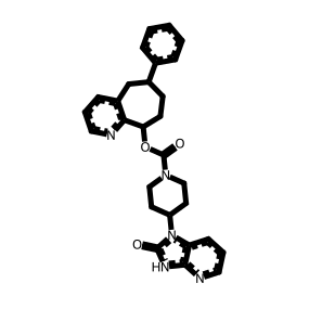 O=C(OC1CCC(c2ccccc2)Cc2cccnc21)N1CCC(n2c(=O)[nH]c3ncccc32)CC1